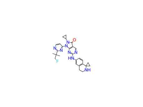 CC(C)(CF)c1nccc(-n2c3nc(Nc4ccc5c(c4)CCNC54CC4)ncc3c(=O)n2C2CC2)n1